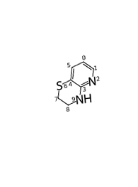 c1cnc2c(c1)SCCN2